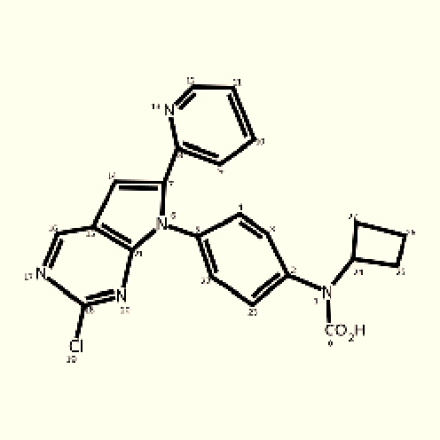 O=C(O)N(c1ccc(-n2c(-c3ccccn3)cc3cnc(Cl)nc32)cc1)C1CCC1